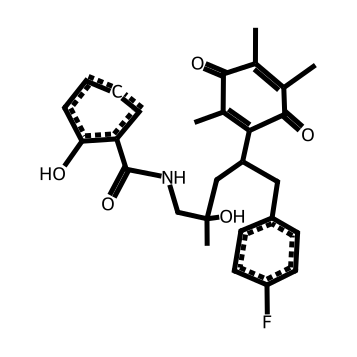 CC1=C(C)C(=O)C(C(Cc2ccc(F)cc2)CC(C)(O)CNC(=O)c2ccccc2O)=C(C)C1=O